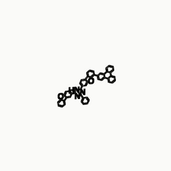 c1ccc(C2=NC(c3ccc4c(c3)oc3c(-c5ccc6c7ccccc7c7ccccc7c6c5)cccc34)NC(c3ccc4oc5ccccc5c4c3)=N2)cc1